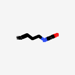 [CH]=CCCN=C=O